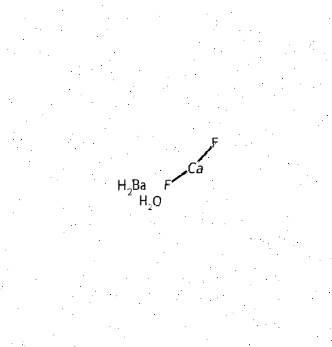 O.[BaH2].[F][Ca][F]